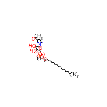 CCCCCCCCCCCCCCCOCOP(=O)(OC)OCC1OC([n+]2cccc(C(C)=O)c2)C(O)C1O